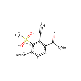 C#Cc1c(C(=O)OC)ccc(CCCCC)c1S(C)(=O)=O